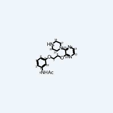 CC(=O)Nc1cccc(OCCOc2nccnc2N2CCNCC2)c1